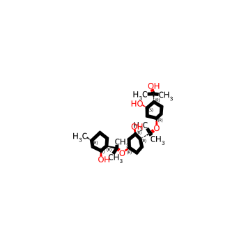 C[C@@H]1CC[C@@H](C(C)(C)O[C@@H]2CC[C@@H](C(C)(C)O[C@@H]3CC[C@@H](C(C)(C)O)[C@@H](O)C3)[C@H](O)C2)[C@@H](O)C1